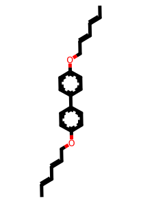 C/C=C/C=C/COc1ccc(-c2ccc(OC/C=C/C=C/C)cc2)cc1